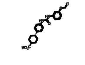 O=C(Nc1ccc([C@H]2CC[C@H](C(=O)O)CC2)cc1)Nc1cccc(OCCl)c1